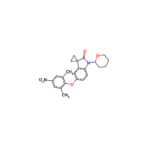 Cc1cc([N+](=O)[O-])cc(C)c1Oc1ccc2c(c1)C1(CC1)C(=O)N2C1CCCCO1